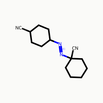 N#CC1CCC(/N=N/C2(C#N)CCCCC2)CC1